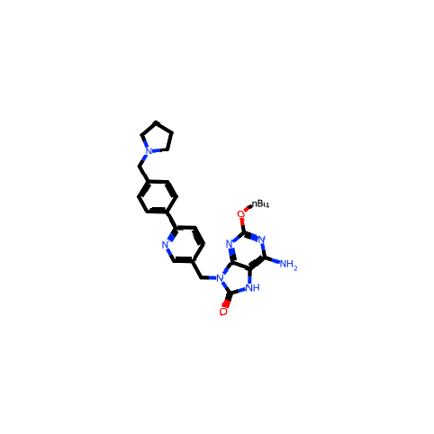 CCCCOc1nc(N)c2[nH]c(=O)n(Cc3ccc(-c4ccc(CN5CCCC5)cc4)nc3)c2n1